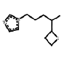 CC(CCCn1ccnc1)C1CCS1